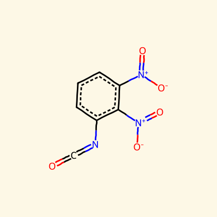 O=C=Nc1cccc([N+](=O)[O-])c1[N+](=O)[O-]